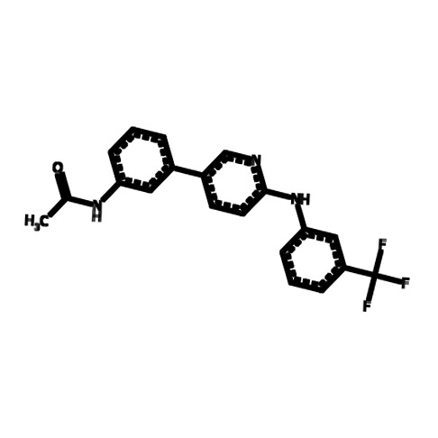 CC(=O)Nc1cccc(-c2ccc(Nc3cccc(C(F)(F)F)c3)nc2)c1